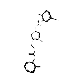 O=C(Nc1ccccc1C(F)(F)F)OC[C@H]1C[C@@H](NS(=O)(=O)c2cc(Br)ccc2Br)CN1C(=O)O